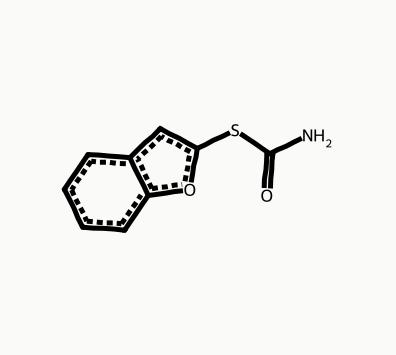 NC(=O)Sc1cc2ccccc2o1